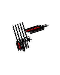 CCCCCCCCCCCCCCCCCC(=O)O.CCCCCCCCCCCCCCCCCC(=O)O.CCCCCCCCCCCCCCCCCC(=O)O.CCCCCCCCCCCCCCCCCC(=O)O.CCCCCCCCCCCCCCCCCC(=O)O.[Mg+2].[Mg+2].[Mg+2].[Mg+2].[Mg+2].[Mg+2].[Mg+2].[Mg+2].[Mg+2].[Mg+2].[Mg+2].[Mg+2].[Mg+2].[Mg+2].[Mg+2].[Mg+2].[Mg+2].[Mg+2].[Mg+2].[Mg+2].[Mg+2].[Mg+2].[Mg+2].[Mg+2].[Mg+2].[Mg+2].[Mg+2]